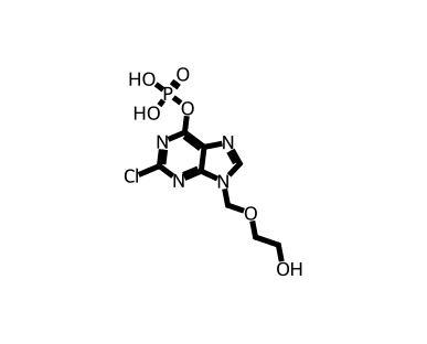 O=P(O)(O)Oc1nc(Cl)nc2c1ncn2COCCO